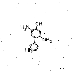 Cc1cc(N)c(-c2cc[nH]c2)cc1N